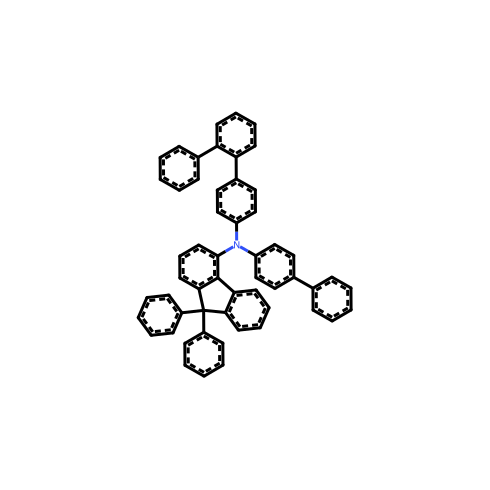 c1ccc(-c2ccc(N(c3ccc(-c4ccccc4-c4ccccc4)cc3)c3cccc4c3-c3ccccc3C4(c3ccccc3)c3ccccc3)cc2)cc1